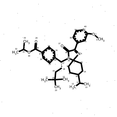 COc1cc(C2=NC3(CCC(C(C)C)CC3)N([C@H](CCC(C)(C)C)c3ccc(C(=O)OC(C)C)cc3)C2=O)ccn1